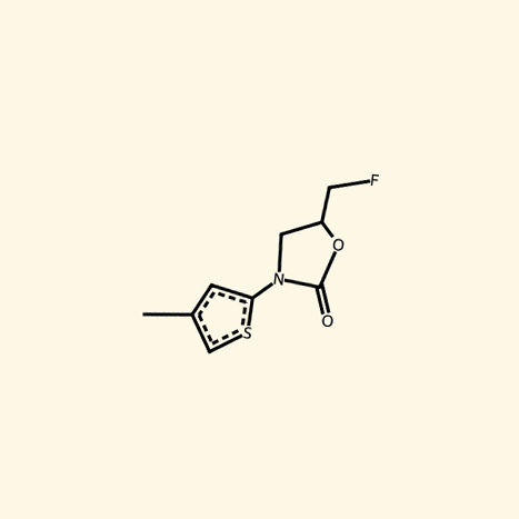 Cc1csc(N2CC(CF)OC2=O)c1